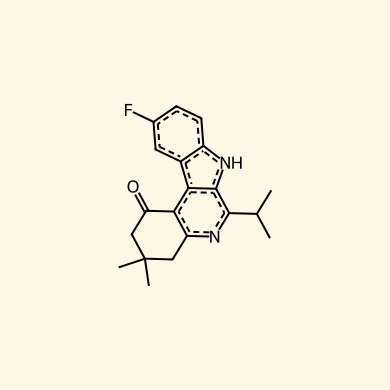 CC(C)c1nc2c(c3c1[nH]c1ccc(F)cc13)C(=O)CC(C)(C)C2